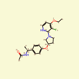 CCOC1=C(F)C(N2CC[C@@H](Oc3ccc([C@H](C)NC(C)=O)cc3)C2)NC=C1